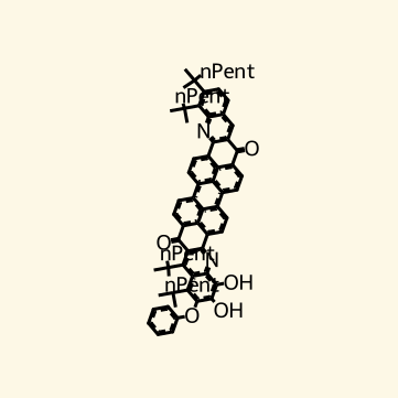 CCCCCC(C)(C)c1ccc2cc3c(nc2c1C(C)(C)CCCCC)-c1ccc2c4ccc5c6c(ccc(c7ccc(c1c27)C3=O)c64)-c1nc2c(O)c(O)c(Oc3ccccc3)c(C(C)(C)CCCCC)c2c(C(C)(C)CCCCC)c1C5=O